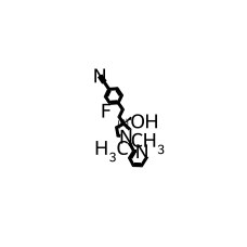 CC(C)(c1ccccn1)N1CC[C@](CO)(CCc2ccc(C#N)cc2F)C1